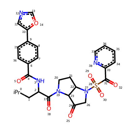 CC(C)CC(NC(=O)c1ccc(-c2cnco2)cc1)C(=O)N1CCC2C1C(=O)CN2S(=O)(=O)C(=O)c1ccccn1